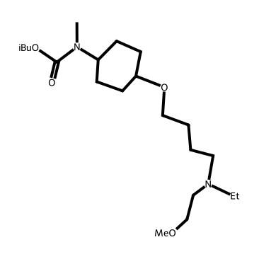 CCN(CCCCOC1CCC(N(C)C(=O)OCC(C)C)CC1)CCOC